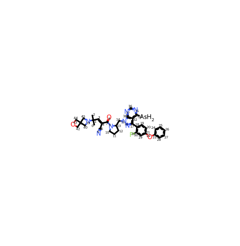 CC(C)(C=C(C#N)C(=O)N1CCCC1Cn1nc(-c2ccc(Oc3ccccc3)cc2F)c2c([AsH2])ncnc21)N1CC2(COC2)C1